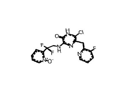 O=c1[nH]c(Cl)c(Cc2ncccc2F)nc1NCC(F)(F)c1cccc[n+]1[O-]